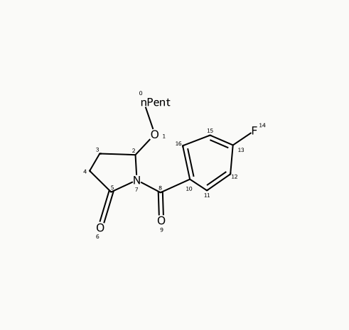 CCCCCOC1CCC(=O)N1C(=O)c1ccc(F)cc1